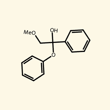 COCC(O)(Oc1ccccc1)c1ccccc1